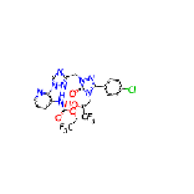 O=C(Nc1cccnc1-n1cnc(Cn2nc(-c3ccc(Cl)cc3)n(C[C@H](O)C(F)(F)F)c2=O)n1)OCC(F)(F)F